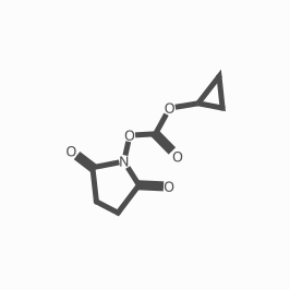 O=C(OC1CC1)ON1C(=O)CCC1=O